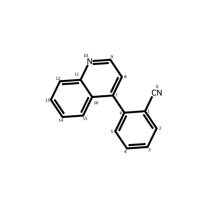 N#Cc1ccccc1-c1ccnc2ccccc12